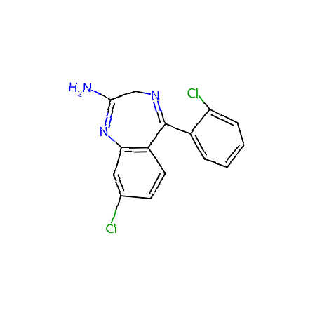 NC1=Nc2cc(Cl)ccc2C(c2ccccc2Cl)=NC1